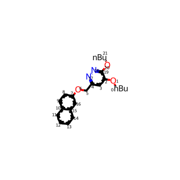 CCCCOc1cc(COc2ccc3ccccc3c2)nnc1OCCCC